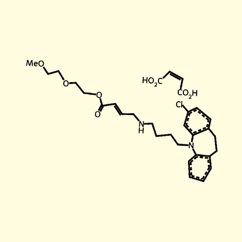 COCCOCCOC(=O)/C=C/CNCCCCN1c2ccccc2CCc2ccc(Cl)cc21.O=C(O)/C=C\C(=O)O